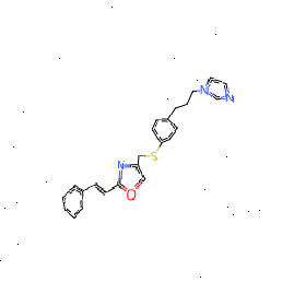 C(=Cc1nc(CSc2ccc(CCCn3ccnc3)cc2)co1)c1ccccc1